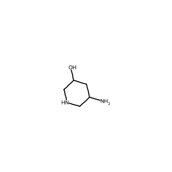 NC1CNCC(O)C1